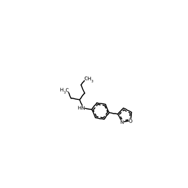 CCCC(CC)Nc1ccc(-c2ccon2)cc1